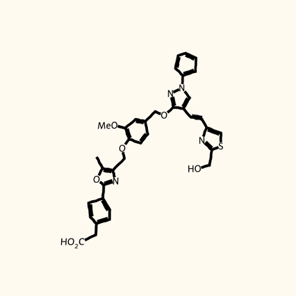 COc1cc(COc2nn(-c3ccccc3)cc2/C=C/c2csc(CO)n2)ccc1OCc1nc(-c2ccc(CC(=O)O)cc2)oc1C